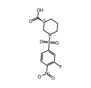 O=C(O)[C@H]1CCCN(S(=O)(=O)c2ccc([N+](=O)[O-])c(F)c2)C1